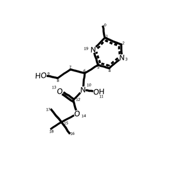 Cc1cncc(C(CCO)N(O)C(=O)OC(C)(C)C)n1